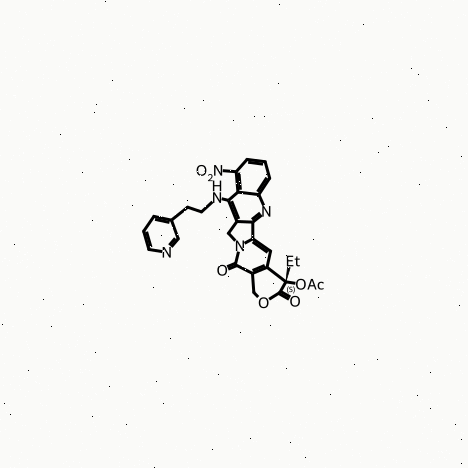 CC[C@@]1(OC(C)=O)C(=O)OCc2c1cc1n(c2=O)Cc2c-1nc1cccc([N+](=O)[O-])c1c2NCCc1cccnc1